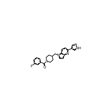 O=C(c1cccc(F)c1)N1CCC(Cn2ccc3nc(-c4cn[nH]c4)ccc32)CC1